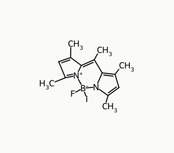 CC1=CC(C)=[N+]2C1=C(C)c1c(C)cc(C)n1[B-]2(F)I